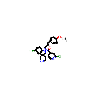 COc1ccc(/C=C/C[N+]2(C(=O)c3ccnc(Cl)c3)CC3(CCNCC3)c3cc(Cl)ccc32)cc1